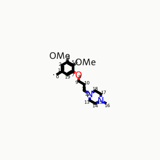 [CH2]c1cc(OC)c(OC)c(OCCCN2CCN(C)CC2)c1